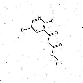 CCOC(=O)CC(=O)c1cc(Br)cnc1Cl